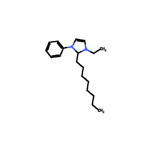 CCCCCCCCC1N(CC)C=CN1c1ccccc1